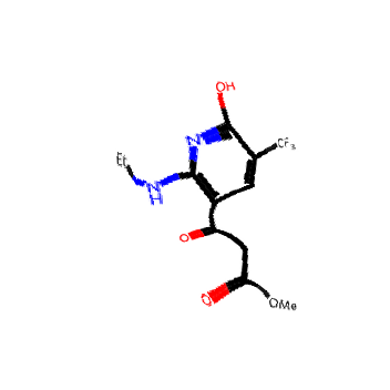 CCNc1nc(O)c(C(F)(F)F)cc1C(=O)CC(=O)OC